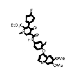 CCOC(=O)c1c(-c2ccc(F)cc2)c(=O)c(C(=O)Nc2ccc(Oc3ccnc4cc(OC)c(OC)cc34)c(F)c2)cn1C